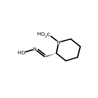 O=C(O)N1CCCC[C@@H]1C=NO